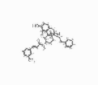 CN(C(=O)/C=C/c1cccc(C(F)(F)F)c1)C1CC[C@@]2(C)[C@H]3Cc4ccc(O)c5c4[C@@]2(CCN3CCc2ccccc2)C1O5